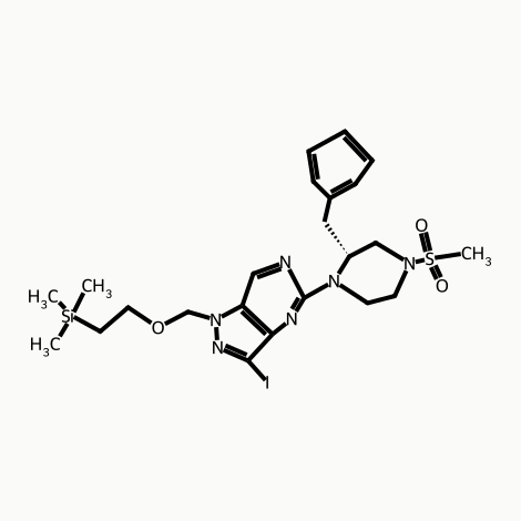 C[Si](C)(C)CCOCn1nc(I)c2nc(N3CCN(S(C)(=O)=O)C[C@H]3Cc3ccccc3)ncc21